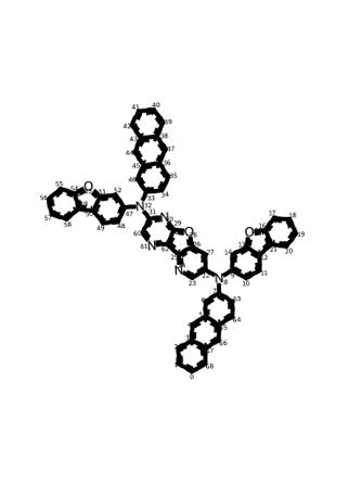 c1ccc2cc3cc(N(c4ccc5c(c4)oc4ccccc45)c4cnc5c(c4)oc4nc(N(c6ccc7cc8ccccc8cc7c6)c6ccc7c(c6)oc6ccccc67)cnc45)ccc3cc2c1